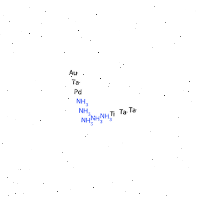 N.N.N.N.N.[Au].[Pd].[Ta].[Ta].[Ta].[Ti]